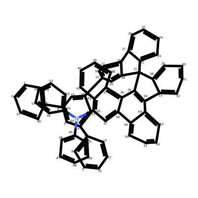 c1ccc(-c2cc(-c3ccccc3)cc(-c3ccc4c(c3)C3(c5ccccc5-4)c4ccccc4-c4c3c3c5ccccc5c(N(c5ccccc5)c5ccccc5)cc3c3ccccc43)c2)cc1